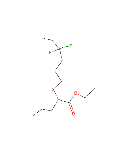 CCCC(SCCCC(F)(F)CCC)C(=O)OCC